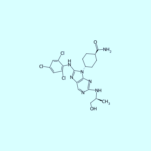 C[C@@H](CO)Nc1ncc2nc(Nc3c(Cl)cc(Cl)cc3Cl)n([C@H]3CC[C@H](C(N)=O)CC3)c2n1